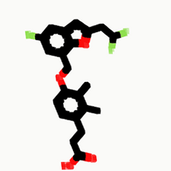 Cc1c(CCC(=O)O)ccc(OCc2cc(F)cc3cc(CC(F)F)oc23)c1C